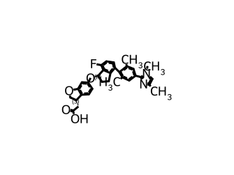 Cc1cn(C)c(-c2cc(C)c(-c3ccc(F)c4c3CC[C@H]4Oc3ccc4c(c3)OC[C@H]4CC(=O)O)c(C)c2)n1